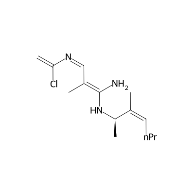 C=C(Cl)/N=C\C(C)=C(/N)N[C@H](C)/C(C)=C\CCC